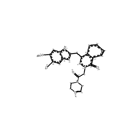 CC(C)COc1cc2[nH]c(Cc3nn(CC(=O)N4CCOCC4)c(=O)c4ccccc34)nc2cc1Cl